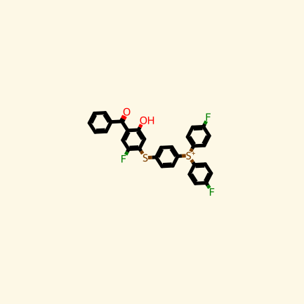 O=C(c1ccccc1)c1cc(F)c(Sc2ccc([S+](c3ccc(F)cc3)c3ccc(F)cc3)cc2)cc1O